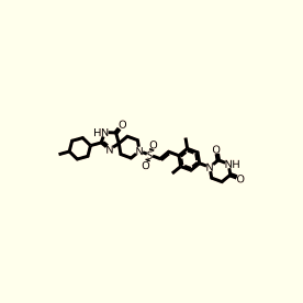 Cc1cc(N2CCC(=O)NC2=O)cc(C)c1C=CS(=O)(=O)N1CCC2(CC1)N=C(C1CCC(C)CC1)NC2=O